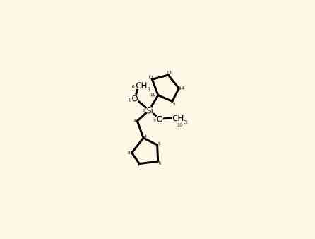 CO[Si](CC1CCCC1)(OC)C1CCCC1